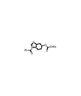 COC(=O)Oc1ccc2c(c1)n[c]n2C(=O)C(C)C